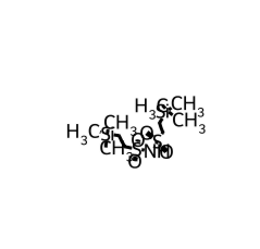 C[Si](C)(C)CCS(=O)(=O)NS(=O)(=O)CC[Si](C)(C)C